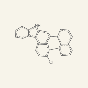 Clc1ccccc1-c1cccc2cccc(-c3ccc4c(c3)[nH]c3ccccc34)c12